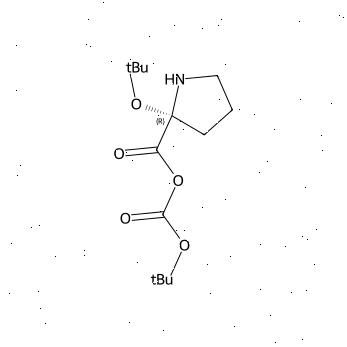 CC(C)(C)OC(=O)OC(=O)[C@]1(OC(C)(C)C)CCCN1